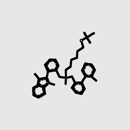 Cc1ccccc1-c1ccccc1CS(C)(CCCCCCOC(C)(C)C)Cc1ccccc1-c1c(C)c2ccccc2n1C